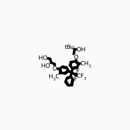 Cc1cc(C(c2ccccc2)(c2ccc(OC[C@@H](O)CO)c(C)c2)C(F)(F)C(F)(F)F)ccc1OCC(O)C(C)(C)C